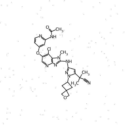 CC(=O)Nc1cc(Oc2cnc3nc(Nc4cc(C(C)(C)C#N)n(C5CC6(COC6)C5)n4)n(C)c3c2Cl)ccn1